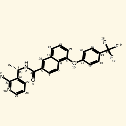 C[C@H](NC(=O)c1ccc2c(Oc3ccc(C(F)(F)F)cc3)cccc2c1)c1cccnc1N